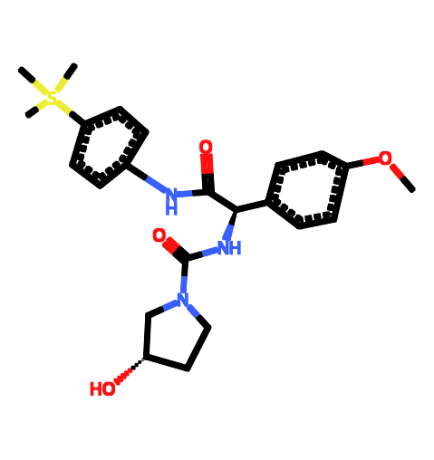 COc1ccc([C@@H](NC(=O)N2CC[C@H](O)C2)C(=O)Nc2ccc(S(C)(C)C)cc2)cc1